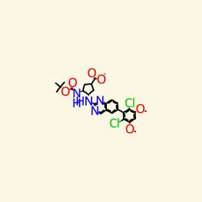 COC(=O)C1C[C@H](NC(=O)OC(C)(C)C)[C@@H](Nc2ncc3cc(-c4c(Cl)c(OC)cc(OC)c4Cl)ccc3n2)C1